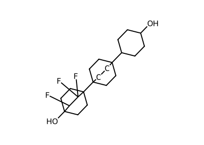 OC1CCC(C23CCC(C45CCC(O)(CC4)C(F)C5(F)F)(CC2)CC3)CC1